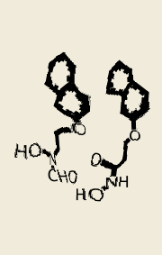 O=C(CCOc1ccc2ccccc2c1)NO.O=CN(O)CCOc1ccc2ccccc2c1